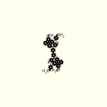 C=Cc1ccc(Oc2ccc(C3(c4ccc(OC)cc4)c4ccccc4-c4ccc(N(c5ccc(F)cc5)c5ccc(-c6ccc(N(c7ccc(F)cc7)c7ccc8c(c7)C(c7ccc(OC)cc7)(c7ccc(Oc9ccc(C=C)cc9)cc7)c7ccccc7-8)cc6)cc5)cc43)cc2)cc1